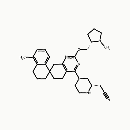 Cc1cccc2c1CCCC21CCc2c(nc(OC[C@@H]3CCCN3C)nc2N2CCN[C@@H](CC#N)C2)C1